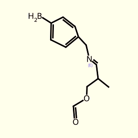 Bc1ccc(C/N=C/C(C)COC=O)cc1